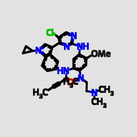 CC#CC(=O)Nc1cc(Nc2ncc(Cl)c(-c3cn(C4CC4)c4ccccc34)n2)c(OC)cc1N(C)CCN(C)C